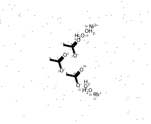 CC(=O)[O-].CC(=O)[O-].CC(=O)[O-].O.O.O.O.[Ni+2].[Rb+]